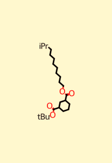 CC(C)CCCCCCCCCOC(=O)C1CCCC(C(=O)OC(C)(C)C)C1